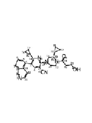 N#Cc1cc(-c2cccc3cnccc23)c(C2CC2)nc1N1CCN(C(=O)CCO)[C@H](C2CC2)C1